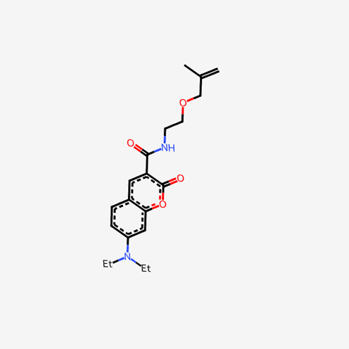 C=C(C)COCCNC(=O)c1cc2ccc(N(CC)CC)cc2oc1=O